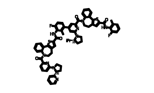 Cc1cccc(F)c1NC(=O)c1cc2c(s1)-c1ccccc1N(C(=O)c1cc(-c3ccc(F)c(NC(=O)c4cc5c(s4)-c4ccccc4N(C(=O)c4cccc(N6CCC[C@@H]6c6ccccn6)n4)CC5)c3C)cc(N3CCC[C@@H]3C(C)C)n1)CC2